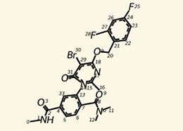 CNC(=O)c1ccc(C(=O)N(C)C)c(-n2c(C)nc(OCc3ccc(F)cc3F)c(Br)c2=O)c1